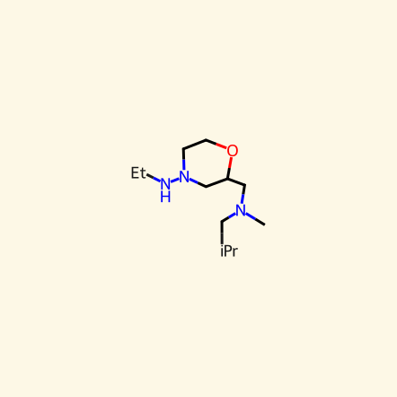 CCNN1CCOC(CN(C)CC(C)C)C1